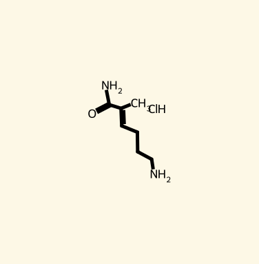 C/C(=C\CCCN)C(N)=O.Cl